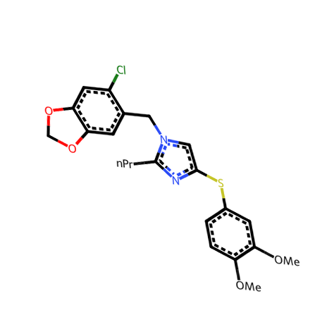 CCCc1nc(Sc2ccc(OC)c(OC)c2)cn1Cc1cc2c(cc1Cl)OCO2